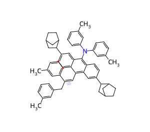 Cc1cccc(C/C(=C/c2c3cc(C4CC5CCC4C5)ccc3c(N(c3cccc(C)c3)c3cccc(C)c3)c3cc(C4CC5CCC4C5)ccc23)c2cccc(C)c2)c1